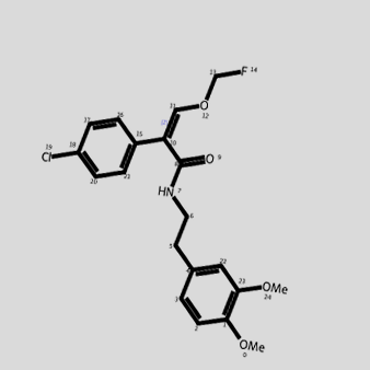 COc1ccc(CCNC(=O)/C(=C\OCF)c2ccc(Cl)cc2)cc1OC